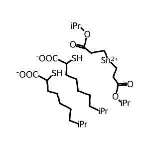 CC(C)CCCCCC(S)C(=O)[O-].CC(C)CCCCCC(S)C(=O)[O-].CC(C)OC(=O)C[CH2][Sn+2][CH2]CC(=O)OC(C)C